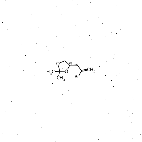 C=C(Br)C[C@@H]1COC(C)(C)O1